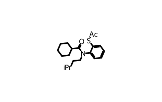 CC(=O)Sc1ccccc1N(CCC(C)C)C(=O)C1CCCCC1